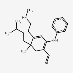 CNCCC1=CC(Nc2ccccc2)=C(C=N)CC1(C)CCC(C)C